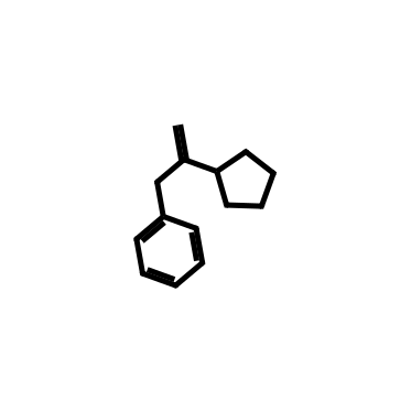 C=C(Cc1ccccc1)[C]1CCCC1